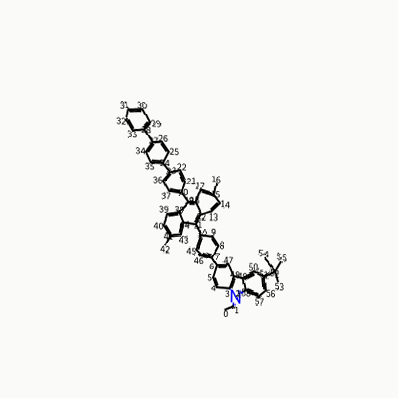 CCn1c2ccc(-c3ccc(-c4c5ccc(C)cc5c(-c5ccc(-c6ccc(-c7ccccc7)cc6)cc5)c5ccc(C)cc45)cc3)cc2c2cc(C(C)(C)C)ccc21